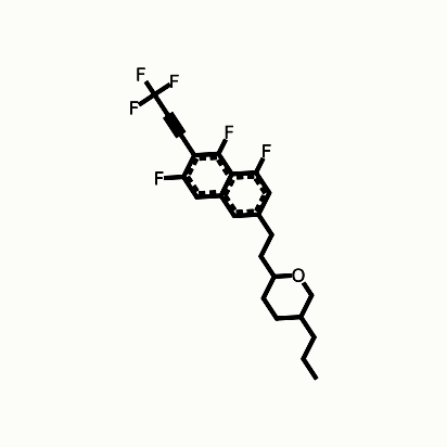 CCCC1CCC(CCc2cc(F)c3c(F)c(C#CC(F)(F)F)c(F)cc3c2)OC1